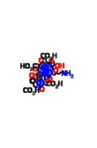 CC(C)C[C@H](N)C(=O)N[C@@H](CC(=O)O)C(=O)N[C@@H](CCC(=O)O)C(=O)N[C@H](C(=O)N[C@@H](CCCCN)C(=O)NCC(=O)N[C@@H](CC(=O)O)C(=O)N[C@@H](Cc1ccc(O)cc1)C(=O)O)[C@@H](C)O